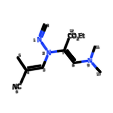 C=NN(/C=C(\C)C#N)C(=CN(C)C)C(=O)OCC